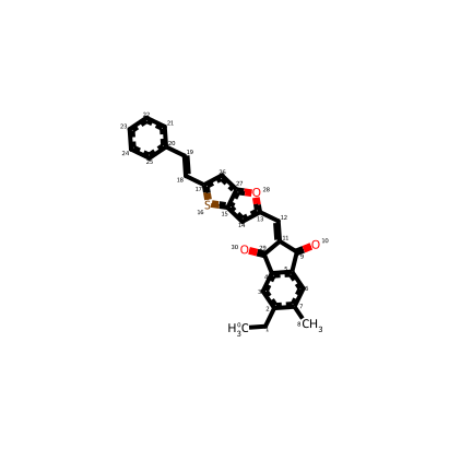 CCc1cc2c(cc1C)C(=O)/C(=C/c1cc3sc(/C=C/c4ccccc4)cc3o1)C2=O